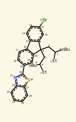 CCCCC(CC)CC1(CC(CC)CCCC)c2cc(Br)ccc2-c2ccc(-c3nc4ccccc4s3)cc21